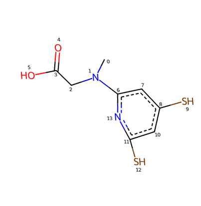 CN(CC(=O)O)c1cc(S)cc(S)n1